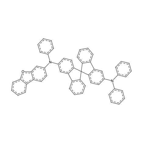 c1ccc(N(c2ccccc2)c2ccc3c(c2)-c2ccccc2C32c3ccccc3-c3cc(N(c4ccccc4)c4ccc5c(c4)oc4ccccc45)ccc32)cc1